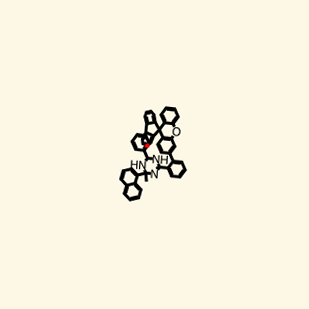 CC1(c2cccc3ccccc23)N=C(c2ccccc2-c2ccc3c(c2)Oc2ccccc2C32c3ccccc3-c3ccccc32)NC(c2ccccc2)N1